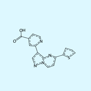 O=C(O)c1ccnc(-c2cnn3ccc(-c4cccs4)nc23)c1